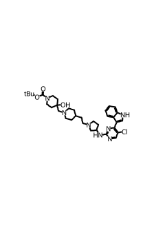 CC(C)(C)OC(=O)N1CCC(O)(CN2CCC(CCN3CCC(Nc4ncc(Cl)c(-c5c[nH]c6ccccc56)n4)C3)CC2)CC1